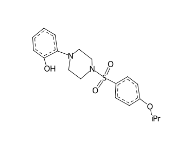 CC(C)Oc1ccc(S(=O)(=O)N2CCN(c3ccccc3O)CC2)cc1